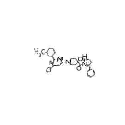 CC1CCCC(c2nc(Cl)cc(N3CCC4(CC3)O[C@@H]3CC[C@@H](c5ccccc5)N3C4=O)n2)C1